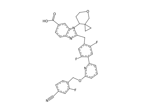 N#Cc1ccc(COc2cccc(-c3cc(F)c(Cc4nc5ccc(C(=O)O)cc5n4C4CCOCC45CC5)cc3F)n2)c(F)c1